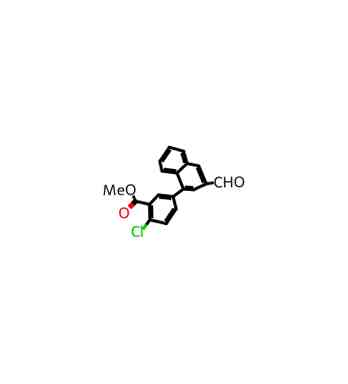 COC(=O)c1cc(-c2cc(C=O)cc3ccccc23)ccc1Cl